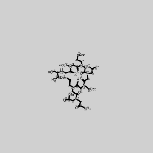 CCCCCCCCCCCCN(CC(=O)N(CC(N)=O)CC(CC)CCCC)C(=O)CN(CCCCCCCC)C(=O)CN(CC(CC)CCCC)C(=O)CN(CCCCCCCCCCCC)C(=O)CN(CCCCCCCC)C(=O)CNC(CO)CO